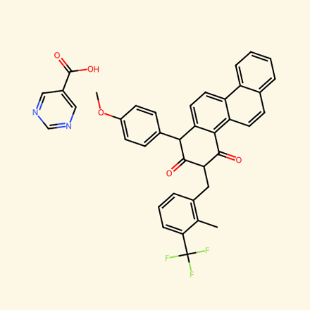 COc1ccc(C2C(=O)C(Cc3cccc(C(F)(F)F)c3C)C(=O)c3c2ccc2c3ccc3ccccc32)cc1.O=C(O)c1cncnc1